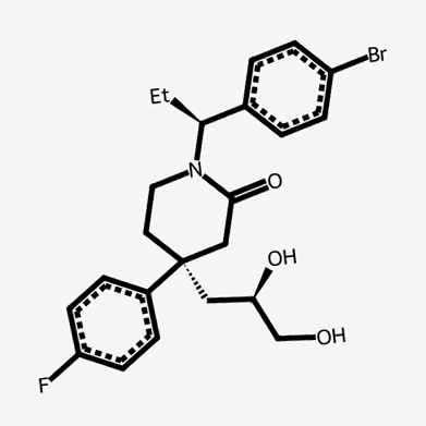 CC[C@@H](c1ccc(Br)cc1)N1CC[C@](C[C@@H](O)CO)(c2ccc(F)cc2)CC1=O